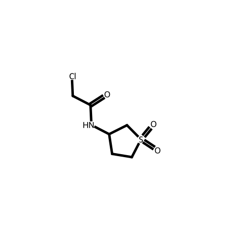 O=C(CCl)NC1CCS(=O)(=O)C1